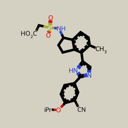 Cc1ccc2c(c1-c1cnc(-c3ccc(OC(C)C)c(C#N)c3)[nH]1)CCC2NS(=O)(=O)CC(=O)O